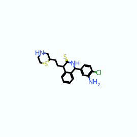 Nc1cc(C2NC(=S)C(CCC3CNCCS3)c3ccccc32)ccc1Cl